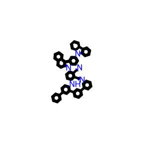 N#Cc1c(Nc2ccc(-c3ccccc3)cc2-c2cccc(-c3ccccc3)c2)ccc(-n2c3ccc(N4c5ccccc5C5C=CC=CC54)cc3c3c4ccccc4ccc32)c1C#N